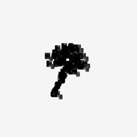 CCOCCOCCOc1ccc(CCC[C@@H](C(=O)OC)N2CCN([C@H](COC(C)(C)C)C(=O)OC)CCN([C@@H](COC(C)(C)C)C(=O)OC)CCN([C@@H](COC(C)(C)C)C(=O)OC)CC2)cc1